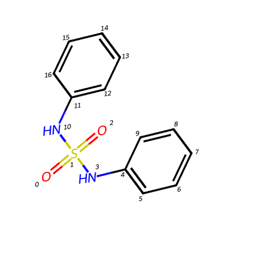 O=S(=O)(Nc1ccccc1)Nc1ccccc1